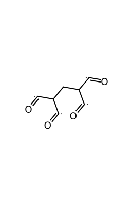 O=[C]C([C]=O)CC([C]=O)[C]=O